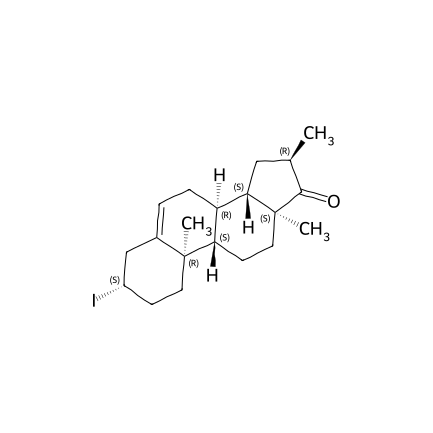 C[C@@H]1C[C@H]2[C@@H]3CC=C4C[C@@H](I)CC[C@]4(C)[C@H]3CC[C@]2(C)C1=O